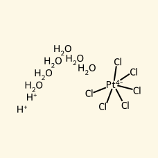 O.O.O.O.O.O.[Cl][Pt-4]([Cl])([Cl])([Cl])([Cl])[Cl].[H+].[H+]